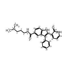 CN(C)CCCNC(=O)c1ccc2[nH]c(-c3ccc[nH]c3=O)c(-c3ccccc3)c2c1